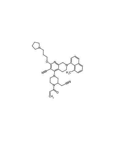 C=CC(=O)N1CCN(c2c(C#N)c(OCCCN3CCCC3)nc3c2CCN(c2cccc4cccc(C)c24)C3)CC1CC#N